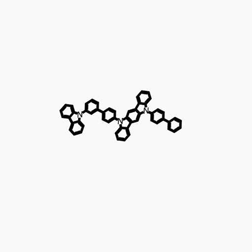 c1ccc(-c2ccc(-n3c4ccccc4c4cc5c(cc43)c3ccccc3n5-c3ccc(-c4cccc(-n5c6ccccc6c6ccccc65)c4)cc3)cc2)cc1